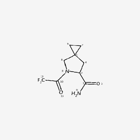 NC(=O)C1CC2(CC2)CN1C(=O)C(F)(F)F